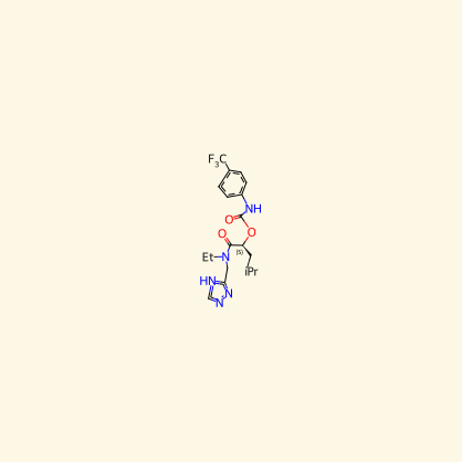 CCN(Cc1nnc[nH]1)C(=O)[C@H](CC(C)C)OC(=O)Nc1ccc(C(F)(F)F)cc1